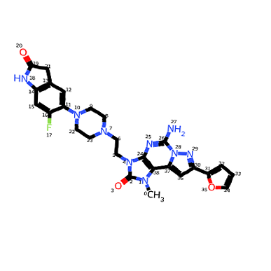 Cn1c(=O)n(CCN2CCN(c3cc4c(cc3F)NC(=O)C4)CC2)c2nc(N)n3nc(-c4ccco4)cc3c21